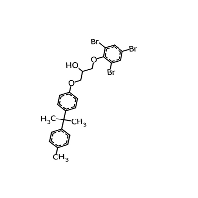 Cc1ccc(C(C)(C)c2ccc(OCC(O)COc3c(Br)cc(Br)cc3Br)cc2)cc1